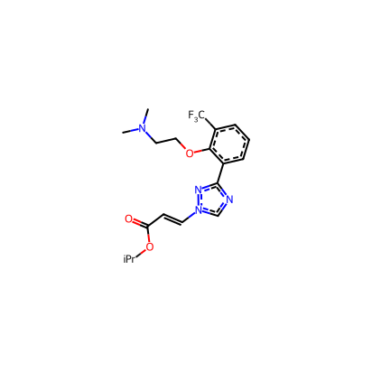 CC(C)OC(=O)C=Cn1cnc(-c2cccc(C(F)(F)F)c2OCCN(C)C)n1